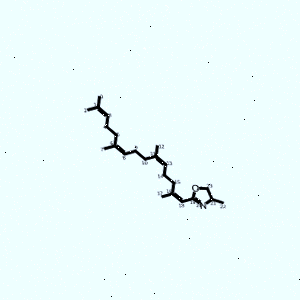 CC(C)=CCCC(C)=CCCC(C)=CCCC(C)=CC1=NC(C)CO1